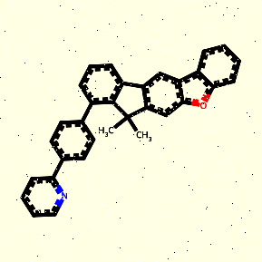 CC1(C)c2cc3oc4ccccc4c3cc2-c2cccc(-c3ccc(-c4ccccn4)cc3)c21